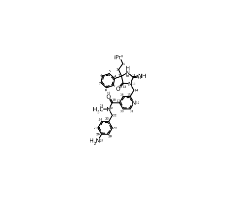 CC(C)CCC1(c2ccccc2)NC(=N)N(Cc2cc(C(=O)N(C)Cc3ccc(N)cc3)ccn2)C1=O